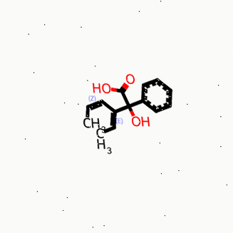 C/C=C\C(=C/C)C(O)(C(=O)O)c1ccccc1